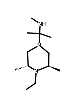 CCN1[C@H](C)CN(C(C)(C)NC)C[C@H]1C